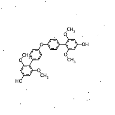 COc1cc(O)cc(OC)c1-c1ccc(Oc2ccc(-c3c(OC)cc(O)cc3OC)cc2)cc1